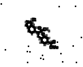 CCn1ncc2ccc(N(Cc3ccc(C(=O)OC)cc3)S(C)(=O)=O)cc21